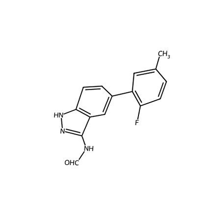 Cc1ccc(F)c(-c2ccc3[nH]nc(NC=O)c3c2)c1